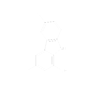 Oc1cc(Cl)cc2c1[nH]c1ccc(Cl)cc12